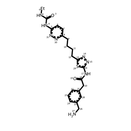 CCNC(=O)Nc1ccc(CCCCc2nnc(NC(=O)Cc3cccc(CN)c3)s2)nn1